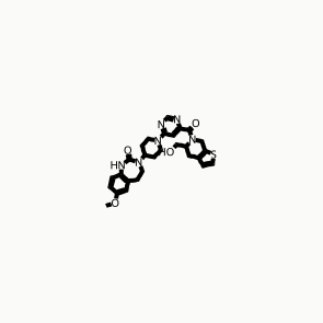 COc1ccc2c(c1)CCN(C1CCN(c3cc(C(=O)N4Cc5sccc5CC4CO)ncn3)CC1)C(=O)N2